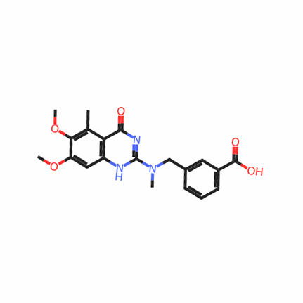 COc1cc2[nH]c(N(C)Cc3cccc(C(=O)O)c3)nc(=O)c2c(C)c1OC